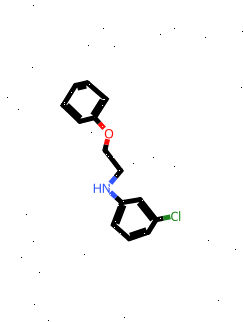 Clc1cccc(NCCOc2ccccc2)c1